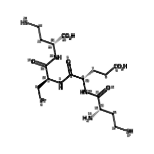 CC(C)C[C@H](NC(=O)[C@H](CCC(=O)O)NC(=O)[C@@H](N)CCS)C(=O)N[C@H](CCS)C(=O)O